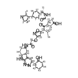 Cc1ncsc1-c1ccc([C@H](C)NC(=O)[C@@H]2C[C@@H](O)CC2C(=O)C(c2cc(OCC(=O)N[C@H]3CCc4[nH]c5nnc(-c6ccccc6O)cc5c4C3)no2)C(C)C)cc1